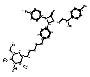 O=C1[C@H](CC[C@H](O)c2ccc(F)cc2)[C@@H](c2ccc(CCCCC[C@@H]3O[C@H](CO)[C@@H](O)[C@H](O)[C@H]3O)cc2)N1c1ccc(F)cc1